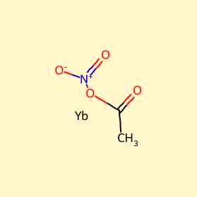 CC(=O)O[N+](=O)[O-].[Yb]